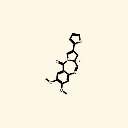 COc1cc2c(cc1OC)C(=O)N1C=C(c3ccco3)C[C@H]1C=N2